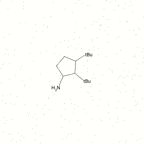 CC(C)(C)C1CCC(N)C1C(C)(C)C